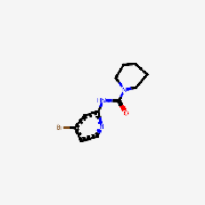 O=C(Nc1cc(Br)ccn1)N1CCCCC1